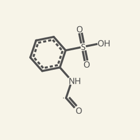 O=[C]Nc1ccccc1S(=O)(=O)O